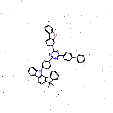 CC1(C)c2ccccc2-c2c1ccc1c3ccccc3n(-c3ccc(-c4nc(-c5ccc(-c6ccccc6)cc5)nc(-c5ccc6c(c5)oc5ccccc56)n4)cc3)c21